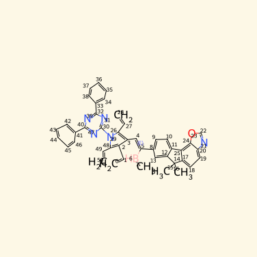 C=Cc1c(/C=C(\BC)c2ccc3c(c2)C(C)(C)c2ccc4ncoc4c2-3)c(C=C)n(-c2nc(-c3ccccc3)nc(-c3ccccc3)n2)c1C=C